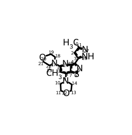 Cc1cc(-c2nsc3c(N4CCOCC4)cc(N4CCOC[C@H]4C)nc23)[nH]n1